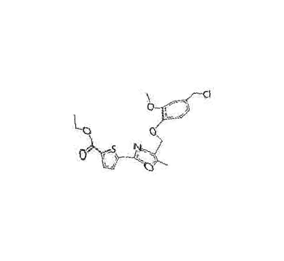 CCOC(=O)c1ccc(-c2nc(COc3ccc(CCl)cc3OC)c(C)o2)s1